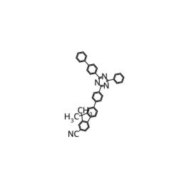 CC1(C)c2cc(C#N)ccc2-c2ccc(-c3ccc(-c4nc(-c5ccccc5)nc(-c5ccc(-c6ccccc6)cc5)n4)cc3)cc21